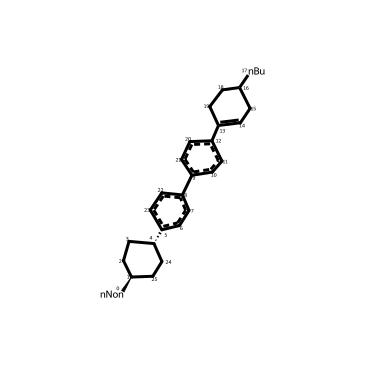 CCCCCCCCC[C@H]1CC[C@H](c2ccc(-c3ccc(C4=CCC(CCCC)CC4)cc3)cc2)CC1